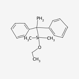 CCO[Si](C)(C)C(P)(c1ccccc1)c1ccccc1